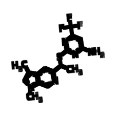 Cc1cn(C)c2cnc(C(C)Sc3nc(N)cc(C(F)(F)F)n3)cc12